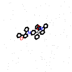 c1ccc(-n2c3ccccc3c3cccc([Si](c4ccccc4)(c4ccccc4)c4ccc(-n5c6ccccc6c6c7c(ccc65)oc5ccccc57)cc4)c32)cc1